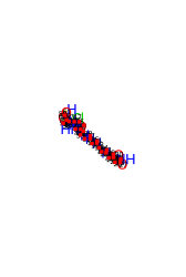 COc1cc(N2CCN(C3CCN(CCC4CCN(c5ccc(C6CCC(=O)NC6=O)cc5)CC4)CC3)CC2)ccc1Nc1ncc(Cl)c(Nc2ccccc2N(C)S(C)(=O)=O)n1